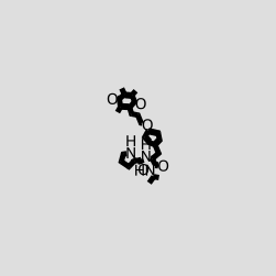 CC1=C(C)C(=O)C(CCCOc2ccc(CC(NC(=O)C3CCCN3)C(=O)NC(C)C)cc2)=C(C)C1=O